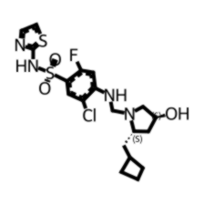 O=S(=O)(Nc1nccs1)c1cc(Cl)c(NCN2C[C@@H](O)C[C@@H]2CC2CCC2)cc1F